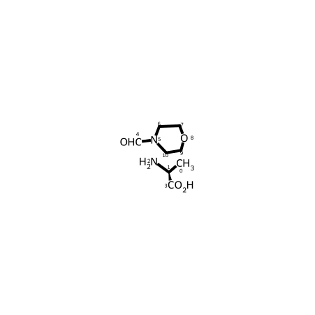 C[C@H](N)C(=O)O.O=CN1CCOCC1